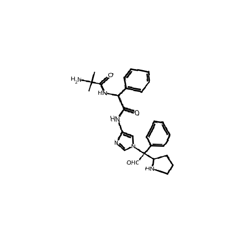 CC(C)(N)C(=O)NC(C(=O)Nc1cn([C@](C=O)(c2ccccc2)C2CCCN2)cn1)c1ccccc1